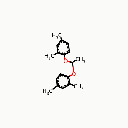 Cc1ccc(OC(C)Oc2ccc(C)cc2C)c(C)c1